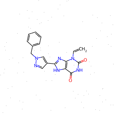 C=Cn1c(=O)[nH]c(=O)c2[nH]c(-c3cnn(Cc4ccccc4)c3)nc21